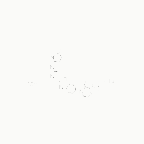 CO[C@@H]1C[C@H](C(=O)Nc2ccc(-n3cccc(OC(=O)OC(C)(C)C)c3=O)cc2F)N(C(=O)Nc2ccc(Cl)cn2)C1